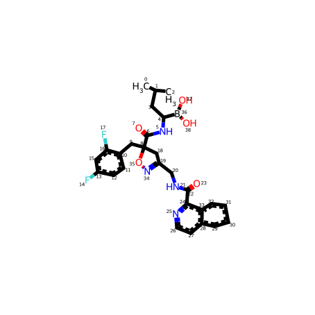 CC(C)CC(NC(=O)C1(Cc2ccc(F)cc2F)CC(CNC(=O)c2nccc3ccccc23)=NO1)B(O)O